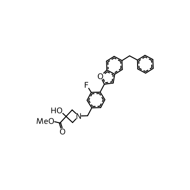 COC(=O)C1(O)CN(Cc2ccc(-c3cc4cc(Cc5ccccc5)ccc4o3)c(F)c2)C1